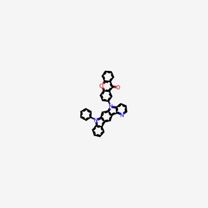 O=c1c2ccccc2oc2ccc(-n3c4cc5c(cc4c4ncccc43)c3ccccc3n5-c3ccccc3)cc12